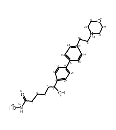 O=C(CCCCC(O)c1ccc(-c2ccc(CCN3CCOCC3)cc2)cc1)NO